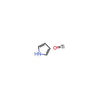 [O]=[Ti].c1cc[nH]c1